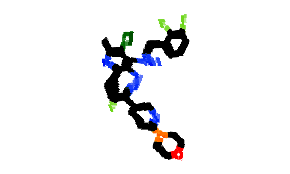 Cc1nc2cc(F)c(-c3ccc(P4CCOCC4)nc3)nc2c(NCc2cccc(F)c2F)c1Cl